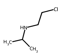 CC(C)NCCCl